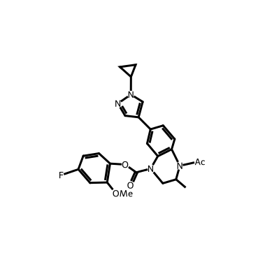 COc1cc(F)ccc1OC(=O)N1CC(C)N(C(C)=O)c2ccc(-c3cnn(C4CC4)c3)cc21